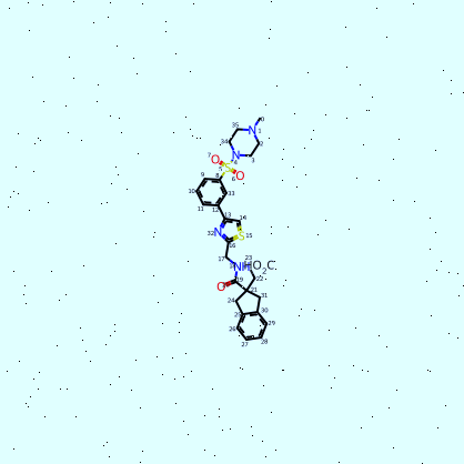 CN1CCN(S(=O)(=O)c2cccc(-c3csc(CNC(=O)C4(CC(=O)O)Cc5ccccc5C4)n3)c2)CC1